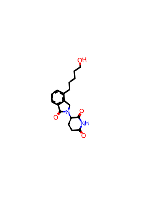 O=C1CCC(N2Cc3c(CCCCCO)cccc3C2=O)C(=O)N1